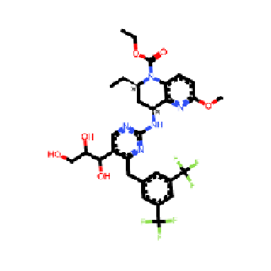 CCOC(=O)N1c2ccc(OC)nc2[C@@H](Nc2ncc(C(O)C(O)CO)c(Cc3cc(C(F)(F)F)cc(C(F)(F)F)c3)n2)C[C@H]1CC